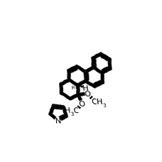 C1=CCN=C1.COC1(OC)CCCC2C=Cc3c(ccc4ccccc34)[C@@H]21